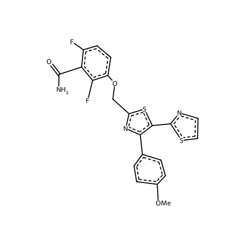 COc1ccc(-c2nc(COc3ccc(F)c(C(N)=O)c3F)sc2-c2nccs2)cc1